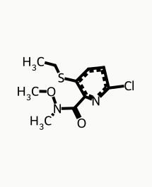 CCSc1ccc(Cl)nc1C(=O)N(C)OC